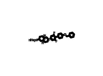 CCCCCCCC1CC[C@@H]2C[C@H](c3cc(F)c(-c4ccc(OCc5ccccc5)cc4)c(F)c3)CC[C@@H]2C1